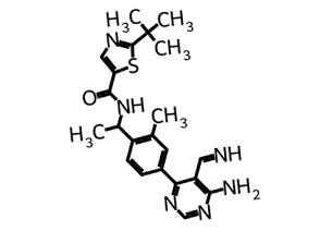 Cc1cc(-c2ncnc(N)c2C=N)ccc1C(C)NC(=O)c1cnc(C(C)(C)C)s1